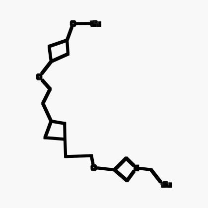 CC(C)(C)CN1CC(OCCC2CC(CCOC3CC(OC(C)(C)C)C3)C2)C1